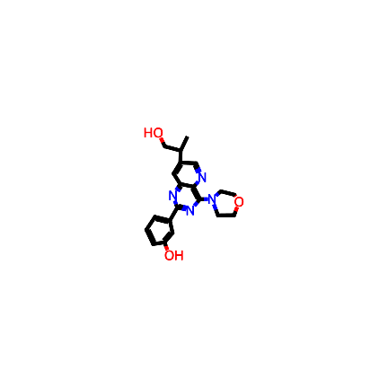 CC(CO)c1cnc2c(N3CCOCC3)nc(-c3cccc(O)c3)nc2c1